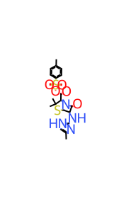 Cc1ccc(S(=O)(=O)OC(=O)C2N3C(=O)C(Nc4nc(C)c[nH]4)C3SC2(C)C)cc1